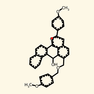 COc1ccc(COCc2ccc3ccccc3c2C(O)c2c(COCc3ccc(OC)cc3)ccc3ccccc23)cc1